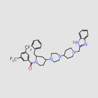 O=C(c1cc(C(F)(F)F)cc(C(F)(F)F)c1)N1CCC(N2CCN(C3CCN(Cc4nc5ccccc5[nH]4)CC3)CC2)CC1Cc1ccccc1